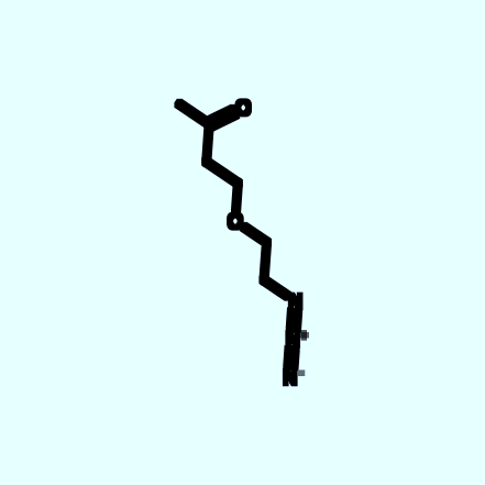 CC(=O)CCOCCN=[N+]=[N-]